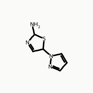 NC1N=CC(n2cccn2)S1